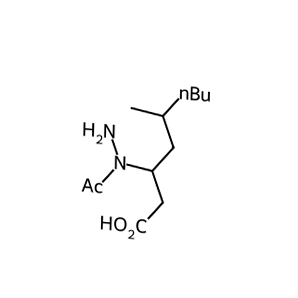 CCCCC(C)CC(CC(=O)O)N(N)C(C)=O